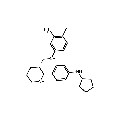 Cc1ccc(NC[C@H]2CCCN[C@H]2c2ccc(NC3CCCC3)cc2)cc1C(F)(F)F